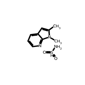 Cc1cc2cccnc2n1C.N[SH](=O)=O